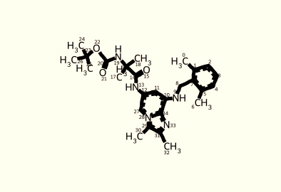 Cc1cccc(C)c1CNc1cc(NC(=O)C(C)(C)NC(=O)OC(C)(C)C)cn2c(C)c(C)nc12